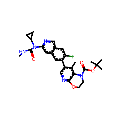 CNC(=O)N(c1cc2cc(-c3cnc4c(c3C)N(C(=O)OC(C)(C)C)CCO4)c(F)cc2cn1)C1CC1